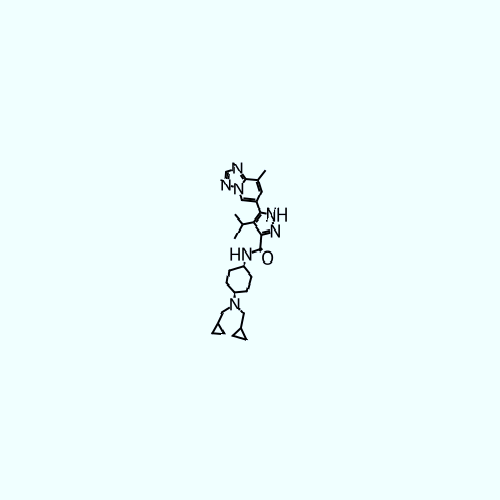 Cc1cc(-c2[nH]nc(C(=O)N[C@H]3CC[C@H](N(CC4CC4)CC4CC4)CC3)c2C(C)C)cn2ncnc12